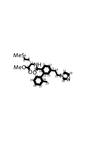 COC(=O)[C@H](CCSC)NC(=O)c1ccc(CCn2ccnc2)cc1-c1ccccc1C